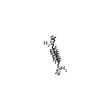 C[Si](C)(C)C[SiH2]CCC(F)(F)C(F)(F)C(F)(F)C(F)(F)C(F)(F)C(F)(F)CC[SiH2]C[Si](C)(C)C